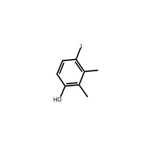 Cc1c(O)ccc(I)c1C